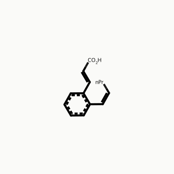 CCC/C=C\c1ccccc1/C=C/C(=O)O